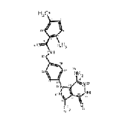 Cc1ccc(C)c(C(=O)NCc2ccc(-n3nc(C(F)(F)F)c4c(=O)[nH]nc(N)c43)cc2)c1